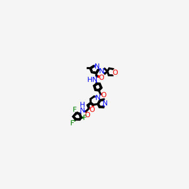 Cc1cnc(N2CC3(CCOCC3)C2)c(C(=O)Nc2ccc(C(=O)N3CCc4cc(C(=O)Nc5c(F)cc(F)cc5F)oc4-c4ccncc43)cc2)c1